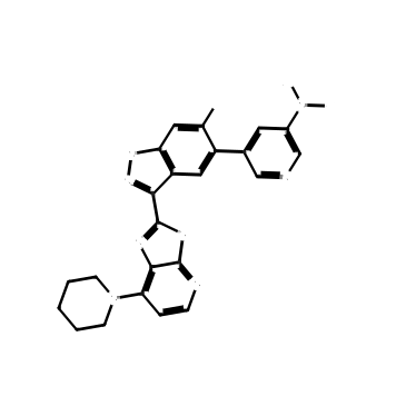 CN(C)c1cncc(-c2cc3c(-c4nc5c(N6CCCCC6)ccnc5[nH]4)n[nH]c3cc2F)c1